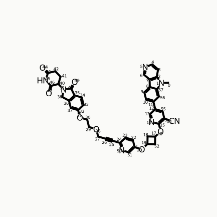 Cn1c2ccncc2c2ccc(-c3cnc(OC4CC(Oc5ccc(C#CCOCCOc6ccc7c(c6)CN(C6CCC(=O)NC6=O)C7=O)nc5)C4)c(C#N)c3)cc21